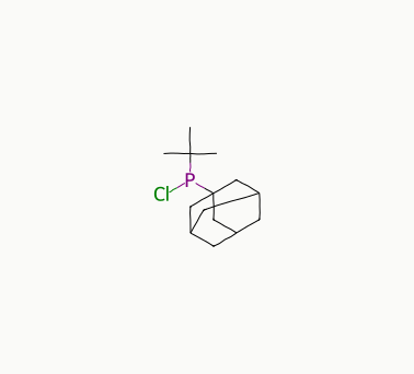 CC(C)(C)P(Cl)C12CC3CC(CC(C3)C1)C2